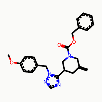 C=C1CC(c2ncnn2Cc2ccc(OC)cc2)CN(C(=O)OCc2ccccc2)C1